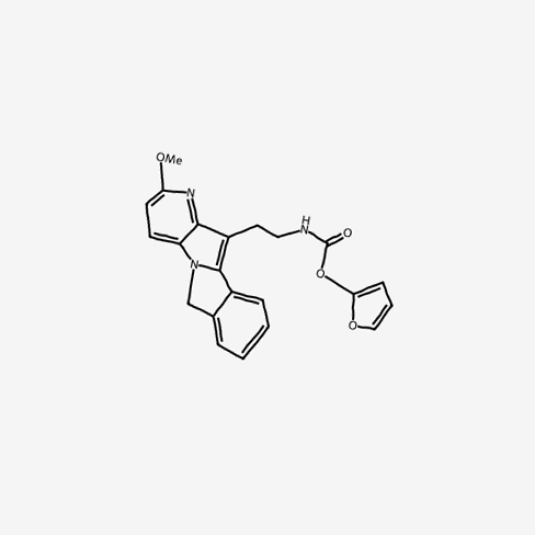 COc1ccc2c(n1)c(CCNC(=O)Oc1ccco1)c1n2Cc2ccccc2-1